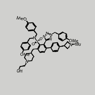 COc1ccc(CN(Cc2ccc(OC)cc2)S(=O)(=O)c2c(CC3CCN(CCO)CC3)ccc(-c3ccc(C4CN(C(C)(C)C)C4)cc3)c2-c2nnn(Cc3ccc(OC)cc3)n2)cc1